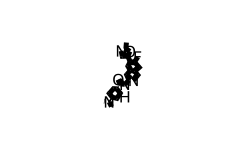 Cc1ncc(-c2cc3cc(NC(=O)[C@H]4CC[C@H](N(C)C)CC4)ncc3cc2F)o1